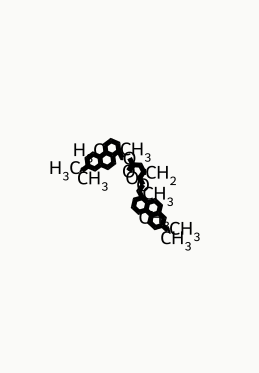 C=C(CC(=O)OCC1(C)CCCC2(C)C3CCC(C(C)C)CC3CCC12)C(=O)OC[C@@]1(C)CCC[C@@]2(C)C3CCC(C(C)C)CC3CCC12